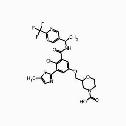 Cc1cnc(-c2cc(OCC3CN(C(=O)O)CCO3)cc(C(=O)N[C@H](C)c3cnc(C(F)(F)F)nc3)c2Cl)s1